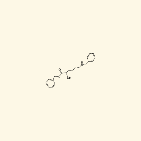 O=C(OCc1ccccc1)C(O)CCCCNCc1ccccc1